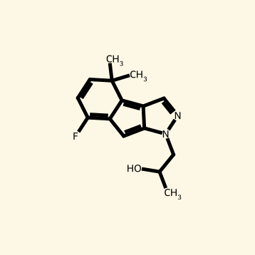 CC(O)Cn1ncc2c1=CC1=C(F)C=CC(C)(C)C=21